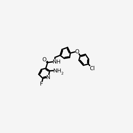 Nc1nc(F)ccc1C(=O)NCc1ccc(Oc2ccc(Cl)cc2)cc1